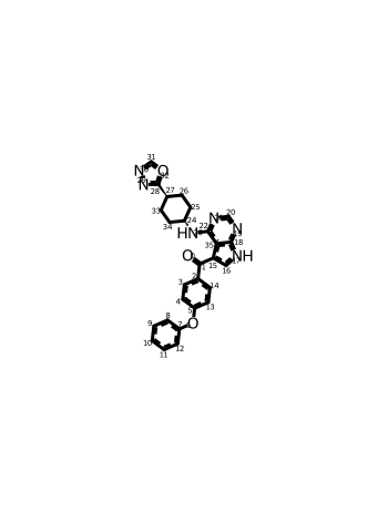 O=C(c1ccc(Oc2ccccc2)cc1)c1c[nH]c2ncnc(N[C@H]3CC[C@H](c4nnco4)CC3)c12